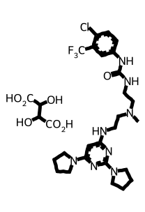 CN(CCNC(=O)Nc1ccc(Cl)c(C(F)(F)F)c1)CCNc1cc(N2CCCC2)nc(N2CCCC2)n1.O=C(O)C(O)C(O)C(=O)O